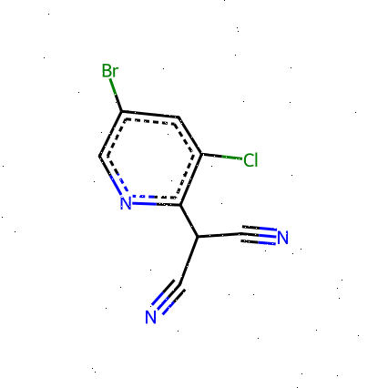 N#CC(C#N)c1ncc(Br)cc1Cl